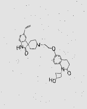 C=Cc1ccc2c(c1)C1(CCN(CCOc3ccc4c(c3)CCC(=O)N4[C@H]3C[C@H](O)C3)CC1)C(=O)N2